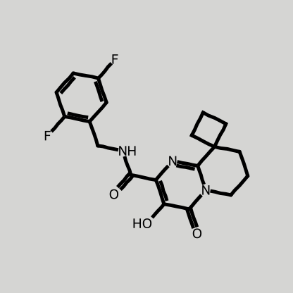 O=C(NCc1cc(F)ccc1F)c1nc2n(c(=O)c1O)CCCC21CCC1